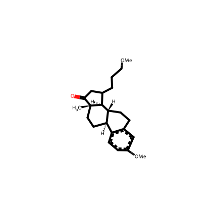 COCCCC1CC(=O)[C@@]2(C)CC[C@@H]3c4ccc(OC)cc4CC[C@H]3[C@H]12